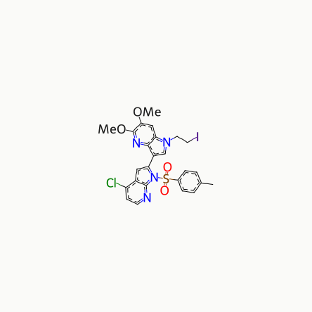 COc1cc2c(nc1OC)c(-c1cc3c(Cl)ccnc3n1S(=O)(=O)c1ccc(C)cc1)cn2CCI